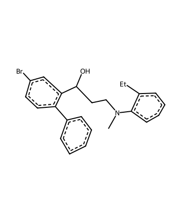 CCc1ccccc1N(C)CCC(O)c1cc(Br)ccc1-c1ccccc1